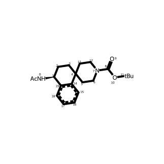 CC(=O)N[C@H]1CCC2(CCN(C(=O)OC(C)(C)C)CC2)c2ccccc21